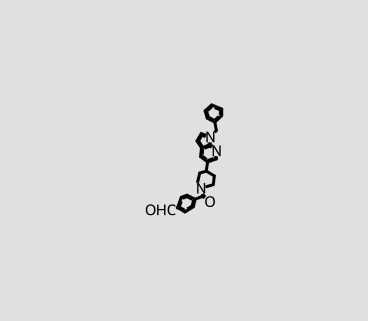 O=Cc1ccc(C(=O)N2CCC(c3cnc4c(ccn4Cc4ccccc4)c3)CC2)cc1